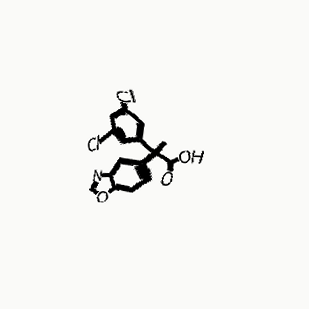 CC(C(=O)O)(c1cc(Cl)cc(Cl)c1)c1ccc2ocnc2c1